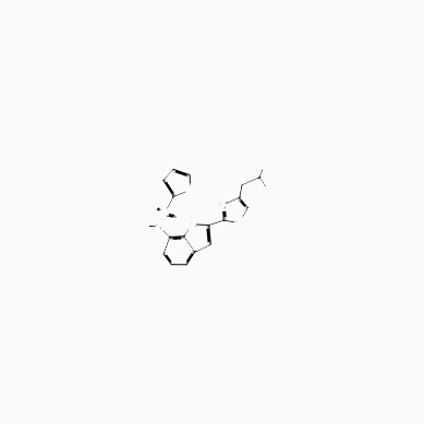 CN(c1cccc2cc(-c3nc(CC(C(=O)O)C(=O)O)cs3)[nH]c12)S(=O)(=O)c1cccs1